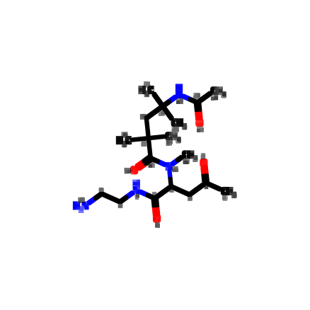 CC(=O)CC(C(=O)NCCN)N(C)C(=O)C(C)(C)CC(C)(C)NC(C)=O